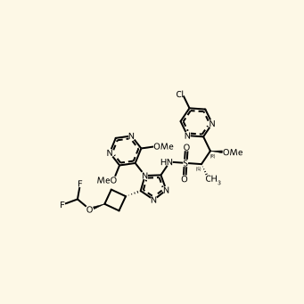 COc1ncnc(OC)c1-n1c(NS(=O)(=O)[C@@H](C)[C@H](OC)c2ncc(Cl)cn2)nnc1[C@H]1C[C@H](OC(F)F)C1